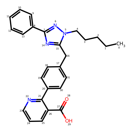 CCCCCn1nc(-c2ccccc2)nc1Cc1ccc(-c2ncccc2C(=O)O)cc1